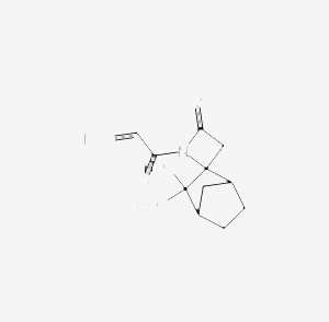 C=CC(=O)N1C(=O)CC12C1CCC(C1)C2(C)C